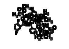 CC(=O)O[C@@H](C)C(=O)N(C[C@@H]1CN(C(=O)OC(C)(C)C)C[C@@H]1F)[C@@H](c1nc(-c2cc(F)ccc2F)cn1Cc1ccccc1)C(C)(C)CCOC(=O)N[C@@H](CN1C(=O)C=CC1=O)C(=O)OC(C)(C)C